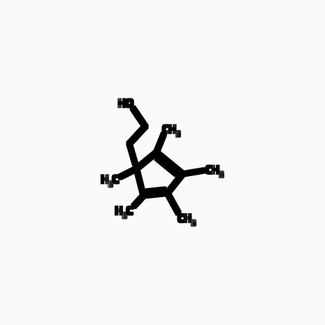 CC1=C(C)C(C)(CCO)C(C)=C1C